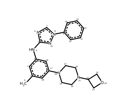 Cc1cc(Nc2ncn(-c3ccccc3)n2)cc(N2CCN(C3COC3)CC2)c1